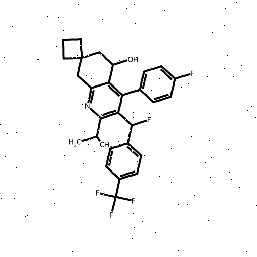 CC(C)c1nc2c(c(-c3ccc(F)cc3)c1C(F)c1ccc(C(F)(F)F)cc1)C(O)CC1(CCC1)C2